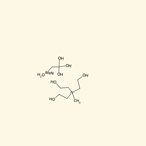 CNCC(O)(O)O.C[N+](CCO)(CCO)CCO.O